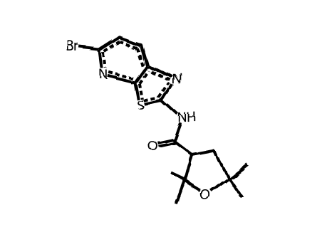 CC1(C)CC(C(=O)Nc2nc3ccc(Br)nc3s2)C(C)(C)O1